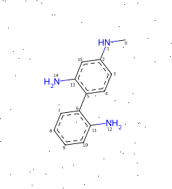 CNc1ccc(-c2ccccc2N)c(N)c1